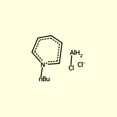 CCCC[n+]1ccccc1.[AlH2][Cl].[Cl-]